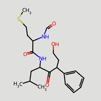 CSCCC(NC=O)C(=O)NC(CC(C)C)C(=O)C(CCO)c1ccccc1